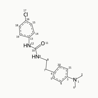 CN(C)c1ccc(CCNC(=O)Nc2ccc(Cl)cc2)cc1